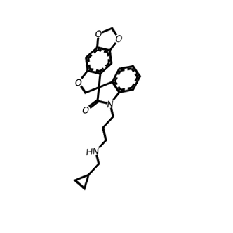 O=C1N(CCCNCC2CC2)c2ccccc2C12COc1cc3c(cc12)OCO3